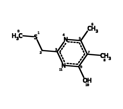 CSCc1nc(C)c(C)c(O)n1